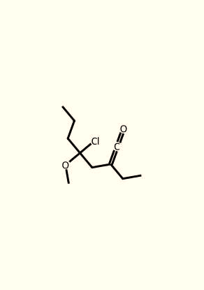 CCCC(Cl)(CC(=C=O)CC)OC